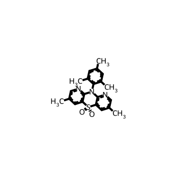 Cc1cc(C)c(N2c3ncc(C)cc3S(=O)(=O)c3cc(C)cnc32)c(C)c1